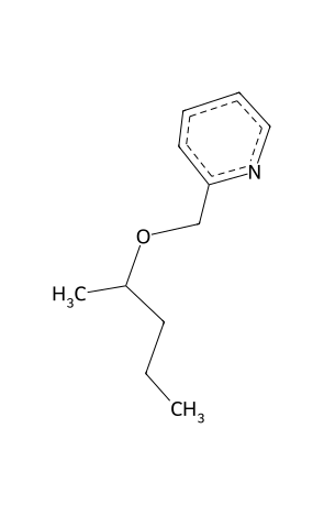 CCCC(C)OCc1ccccn1